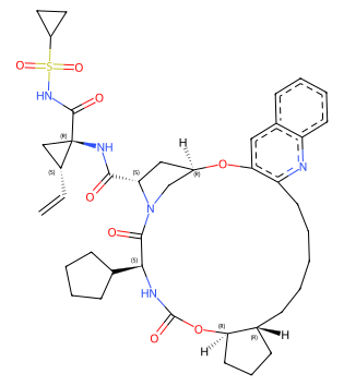 C=C[C@@H]1C[C@]1(NC(=O)[C@@H]1C[C@@H]2CN1C(=O)[C@H](C1CCCC1)NC(=O)O[C@@H]1CCC[C@H]1CCCCCc1nc3ccccc3cc1O2)C(=O)NS(=O)(=O)C1CC1